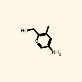 Cc1cc(N)cnc1CO